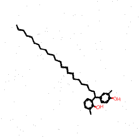 CCCCCCCCCCCCCCCCCCCCCCCC(c1ccc(O)c(C)c1)c1cccc(C)c1O